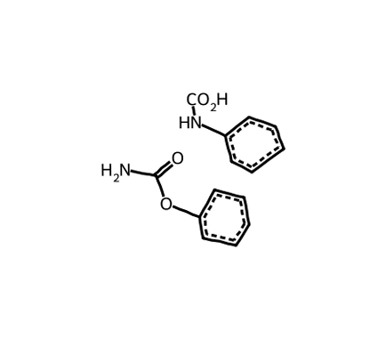 NC(=O)Oc1ccccc1.O=C(O)Nc1ccccc1